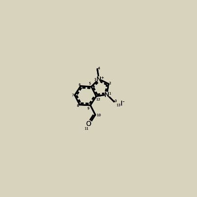 Cn1c[n+](C)c2cccc(C=O)c21.[I-]